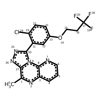 Cc1nc2cccnc2n2c(-c3cc(OCCC(F)(F)F)ccc3Cl)nnc12